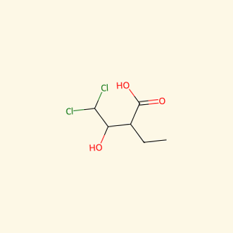 CCC(C(=O)O)C(O)C(Cl)Cl